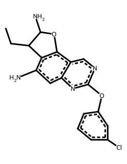 CCC1c2c(N)cc3nc(Oc4cccc(Cl)c4)ncc3c2OC1N